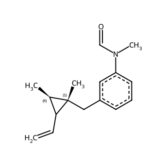 C=CC1[C@@H](C)[C@]1(C)Cc1cccc(N(C)C=O)c1